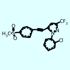 CS(=O)(=O)c1ccc(C#Cc2cc(C(F)(F)F)nn2-c2ccccc2Cl)cc1